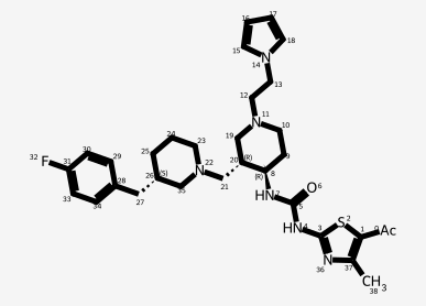 CC(=O)c1sc(NC(=O)N[C@@H]2CCN(CCn3cccc3)C[C@H]2CN2CCC[C@@H](Cc3ccc(F)cc3)C2)nc1C